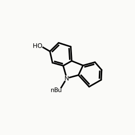 CCCCn1c2ccccc2c2ccc(O)cc21